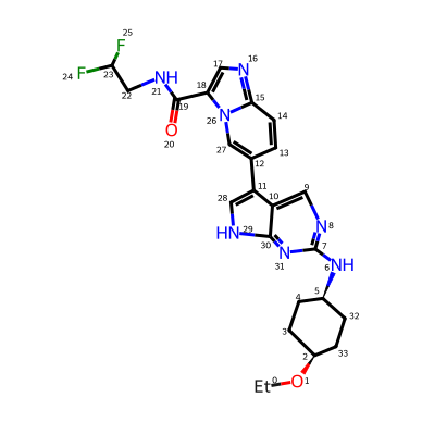 CCO[C@H]1CC[C@@H](Nc2ncc3c(-c4ccc5ncc(C(=O)NCC(F)F)n5c4)c[nH]c3n2)CC1